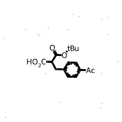 CC(=O)c1ccc(CC(C(=O)O)C(=O)OC(C)(C)C)cc1